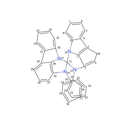 C1=C2c3c(c4ccccc4n3C3(N2c2ccccc2)N(c2ccccc2)c2cccc4c5ccccc5n3c24)C1